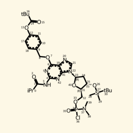 CC(C)C(=O)Nc1nc(OCc2ccc(OC(=O)C(C)(C)C)cc2)c2ncn([C@H]3C[C@H](O[Si](C)(C)C(C)(C)C)[C@@H](COP(=O)(Cl)N(C)C)O3)c2n1